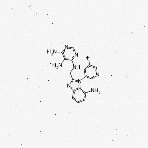 Nc1ncnc(NCc2nc3cccc(N)c3n2-c2cncc(F)c2)c1N